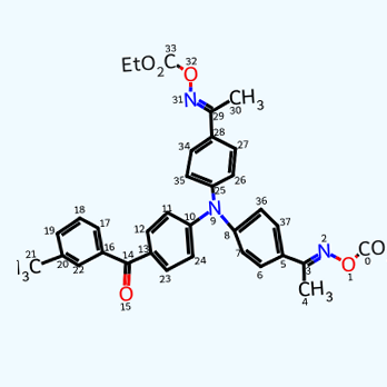 CCOC(=O)ON=C(C)c1ccc(N(c2ccc(C(=O)c3cccc(C)c3)cc2)c2ccc(/C(C)=N/OC(=O)OCC)cc2)cc1